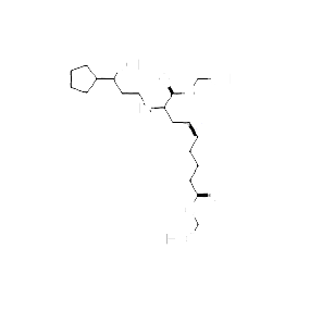 CCOC(=O)CCC/C=C\CC(NCCC(O)C1CCCC1)C(=O)OCC